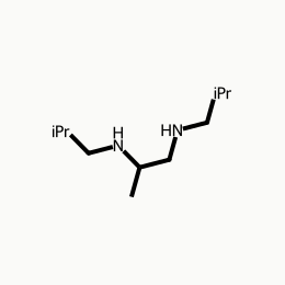 CC(C)CNCC(C)NCC(C)C